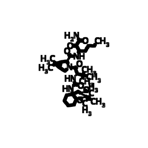 CCCCC(NC(=O)[C@@H]1C2C(CN1C(=O)[C@@H](NC(=O)NC1(CS(=O)(=O)C(C)(C)C)CCCCC1)C(C)(C)C)C2(C)C)C(=O)C(N)=O